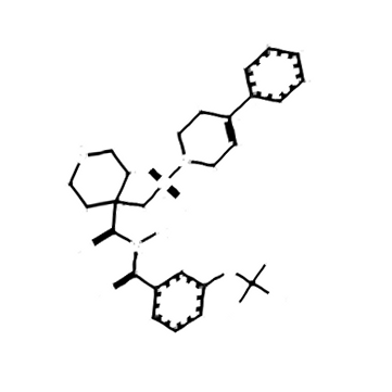 O=C(c1cccc(OC(F)(F)C(F)(F)F)c1)N(O)C(=O)C1(CS(=O)(=O)N2CC=C(c3ccccc3)CC2)CCNCC1